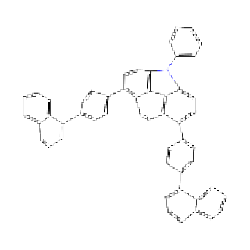 c1ccc(-n2c3ccc(-c4ccc(-c5cccc6ccccc56)cc4)c4ccc5c(-c6ccc(-c7cccc8ccccc78)cc6)ccc2c5c43)cc1